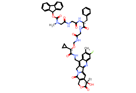 CC[C@@]1(O)C(=O)OCc2c1cc1n(c2=O)Cc2c-1nc1cc(F)c(C)cc1c2CNC(=O)[C@H](OCNC(=O)CNC(=O)[C@H](Cc1ccccc1)NC(=O)CNC(=O)CN(C)C(=O)OC1c2ccccc2-c2ccccc21)C1CC1